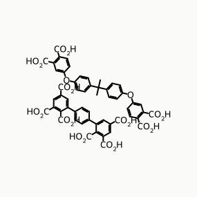 CC(C)(c1ccc(Oc2ccc(C(=O)O)c(C(=O)O)c2)cc1)c1ccc(Oc2ccc(C(=O)O)c(C(=O)O)c2)cc1.O=C(O)c1cc(C(=O)O)c(C(=O)O)c(-c2ccc(-c3cc(C(=O)O)cc(C(=O)O)c3C(=O)O)cc2)c1